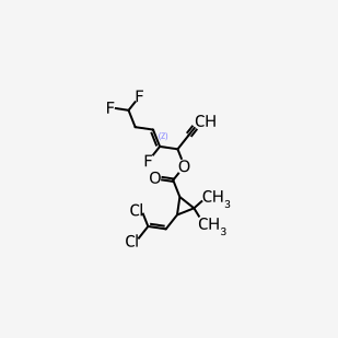 C#CC(OC(=O)C1C(C=C(Cl)Cl)C1(C)C)/C(F)=C/CC(F)F